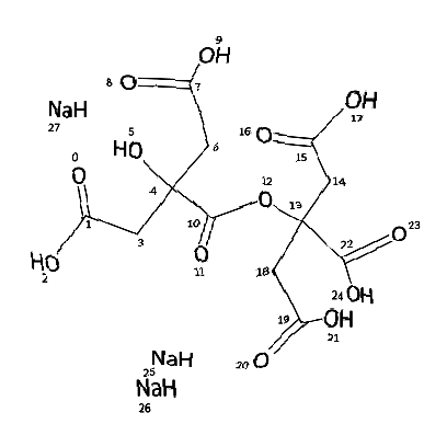 O=C(O)CC(O)(CC(=O)O)C(=O)OC(CC(=O)O)(CC(=O)O)C(=O)O.[NaH].[NaH].[NaH]